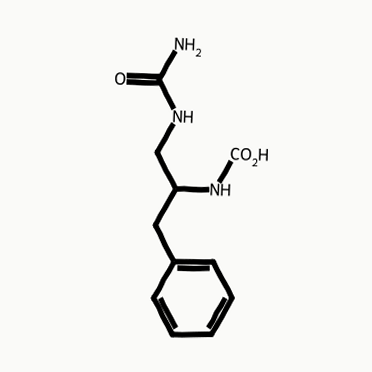 NC(=O)NCC(Cc1ccccc1)NC(=O)O